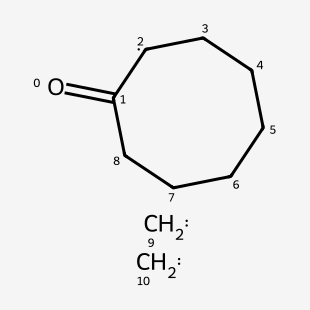 O=C1[CH]CCCCCC1.[CH2].[CH2]